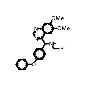 COc1cc2ncnc(C(NCC(C)C)c3ccc(Oc4ccccc4)cc3)c2cc1OC